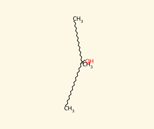 CCCCCCCCCCCCCCCCCCCC[C@@](C)(CO)CCCCCCCCCCCCCCCCCC